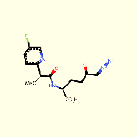 CO[C@@H](C(=O)N[C@@H](CCC(=O)C=[N+]=[N-])C(=O)O)c1ccc(F)cn1